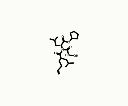 C=CCCC(CC(C)C)C(=O)N(C(=O)NO)[C@@H](CC(C)C)C(=O)OC1CCCC1